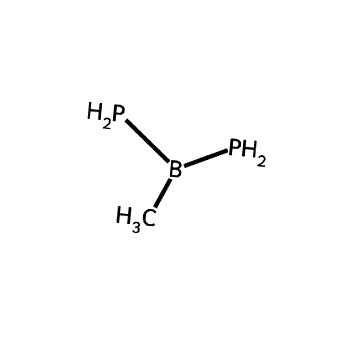 CB(P)P